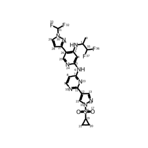 CC(Nc1cc(Nc2ccnc(-c3cnn(S(=O)(=O)C4CC4)c3)n2)ncc1-c1ccn(C(F)F)n1)C(F)F